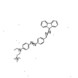 CCN(CC[N+](C)(C)C)c1ccc(N=Nc2ccc(/C=N/N=C3c4ccccc4-c4ccccc43)cc2)cc1